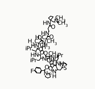 CC(C)CC(NC(=O)C(Cc1nccs1)NC(=O)[C@@H]1CCCN1C(=O)c1ccc(F)cc1)C(=O)NC(C)(C)C(=O)NC(CC(C)C)C(=O)NC(CC(C)C)C(=O)NC(C)(C)C(=O)NC(C)(C)C(=O)NCCC(=O)NC1(CN(C)C)CCC1